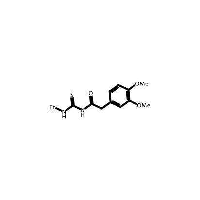 CCNC(=S)NC(=O)Cc1ccc(OC)c(OC)c1